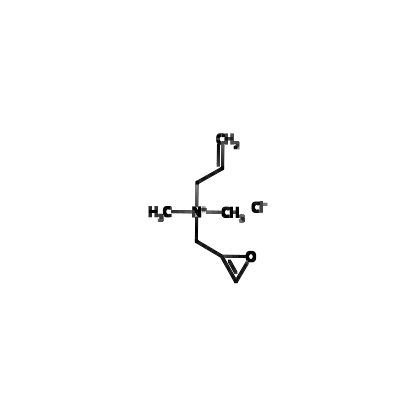 C=CC[N+](C)(C)CC1=CO1.[Cl-]